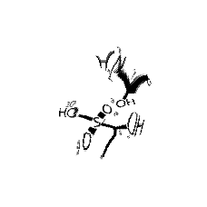 CC(N)O.CC(O)S(=O)(=O)O